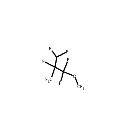 FC(F)C(F)(C(F)(F)F)C(F)(F)OC(F)(F)F